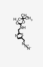 CC(C)(C)OC(=O)NCc1ncc(CN=[N+]=[N-])s1